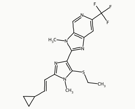 CCSc1c(-c2nc3cc(C(F)(F)F)ncc3n2C)nc(/C=C/C2CC2)n1C